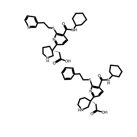 O=C(O)C[C@@]1(c2ccc(C(=O)NC3CCCCC3)c(SCCc3ccccc3)n2)CCCNC1.O=C(O)C[C@@]1(c2ccc(C(=O)NC3CCCCC3)c(SCCc3cccnc3)n2)CCCNC1